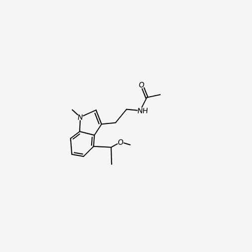 COC(C)c1cccc2c1c(CCNC(C)=O)cn2C